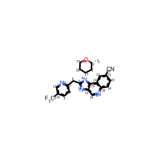 C[C@@H]1C[C@H](n2c(Cc3ccc(C(F)(F)F)cn3)nc3cnc4ccc(C#N)cc4c32)CCO1